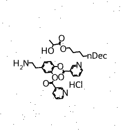 CCCCCCCCCCCCCCOC(=O)C(C)O.Cl.NCCc1ccc(OC(=O)c2cccnc2)c(OC(=O)c2cccnc2)c1